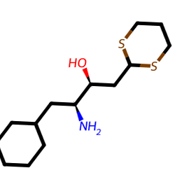 N[C@@H](CC1CCCCC1)[C@@H](O)CC1SCCCS1